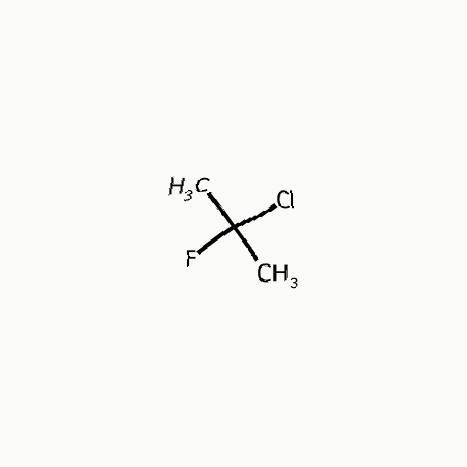 CC(C)(F)Cl